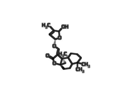 CC1=C[C@@H](O/C=C2\C(=O)O[C@]34CCC5C(C)(C)CCC[C@]5(C)[C@]23C4)OC1O